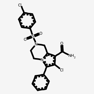 NC(=O)c1c(Cl)c(-c2ccccc2)n2c1CN(S(=O)(=O)c1ccc(Cl)cc1)CC2